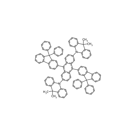 CC1(C)c2ccccc2N(c2ccc3c(-c4ccc5c(c4)C(c4ccccc4)(c4ccccc4)c4ccccc4-5)c4cc(N5c6ccccc6C(C)(C)c6ccccc65)ccc4c(-c4ccc5c(c4)C(c4ccccc4)(c4ccccc4)c4ccccc4-5)c3c2)c2ccccc21